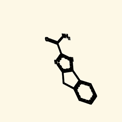 NC(=O)c1nc2c(s1)Cc1ccccc1-2